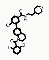 O=C(NCCC1CCOCC1)c1ccc(Cl)c(-c2ccc3c(c2)CCCN3C(=O)c2c(F)cccc2Cl)c1